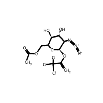 C=C(O[C@H]1OC(COC(C)=O)[C@@H](O)[C@H](O)C1N=[N+]=[N-])C(Cl)(Cl)Cl